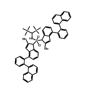 CC(C)(C)C1=Cc2c(-c3ccccc3-c3cccc4ccccc34)cccc2[CH]1[Zr]([Cl])([Cl])([BH]N([Si](C)(C)C)[Si](C)(C)C)[CH]1C(C(C)(C)C)=Cc2c(-c3ccccc3-c3cccc4ccccc34)cccc21